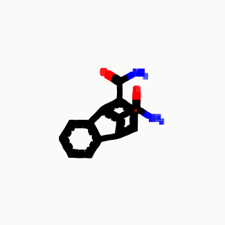 NC(=O)c1ccc2c(C(N)=O)c1-c1ccccc1-2